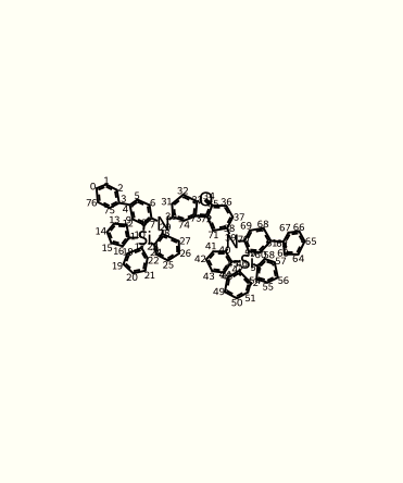 c1ccc(-c2ccc3c(c2)[Si](c2ccccc2)(c2ccccc2)c2ccccc2N3c2ccc3oc4ccc(N5c6ccccc6[Si](c6ccccc6)(c6ccccc6)c6cc(-c7ccccc7)ccc65)cc4c3c2)cc1